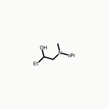 CCCN(C)CC(O)CC